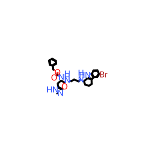 O=C(NC(Cc1cnc[nH]1)C(=O)NCCCNC1CCCc2c1[nH]c1ccc(Br)cc21)OCc1ccccc1